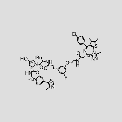 Cc1ncsc1-c1ccc([C@H](C)NC(=O)[C@@H]2C[C@@H](O)CN2C(=O)C(NC(=O)CCc2cc(F)cc(OCCNC(=O)C[C@@H]3N=C(c4ccc(Cl)cc4)c4c(sc(C)c4C)-n4c(C)nnc43)c2)C(C)(C)C)cc1